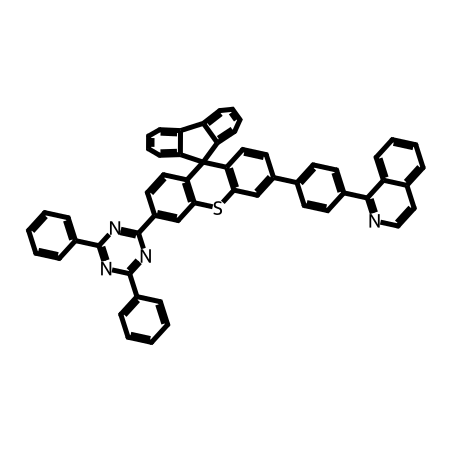 c1ccc(-c2nc(-c3ccccc3)nc(-c3ccc4c(c3)Sc3cc(-c5ccc(-c6nccc7ccccc67)cc5)ccc3C43c4ccccc4-c4ccccc43)n2)cc1